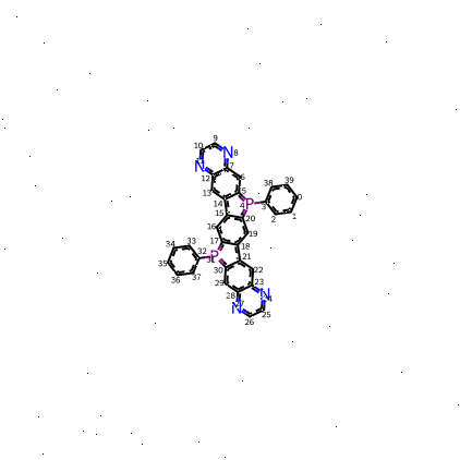 c1ccc(-p2c3cc4nccnc4cc3c3cc4c(cc32)c2cc3nccnc3cc2p4-c2ccccc2)cc1